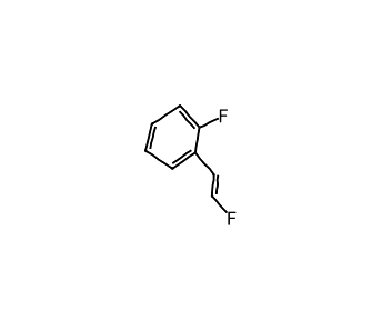 FC=Cc1ccccc1F